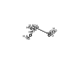 Cc1ncsc1-c1ccc(CNC(=O)[C@@H]2C[C@@H](O)CN2C(=O)[C@@H](NC(=O)CCCCCCCCCCNc2cccc3c2C(=O)N(C2CCC(=O)NC2=O)C3=O)C(C)(C)C)cc1